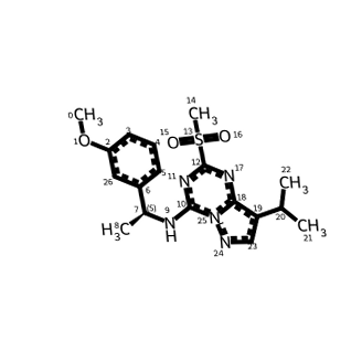 COc1cccc([C@H](C)Nc2nc(S(C)(=O)=O)nc3c(C(C)C)cnn23)c1